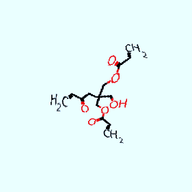 C=CC(=O)CC(CO)(COC(=O)C=C)COC(=O)C=C